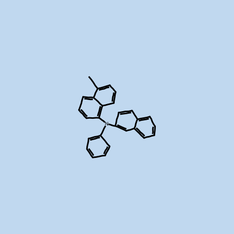 Cc1cccc2c(N(c3ccccc3)c3ccc4ccccc4c3)cccc12